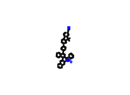 CC1(C)c2cc(C#N)ccc2-c2ccc(-c3ccc(-c4cc(Cc5ccccc5)c(-c5cc6ccccc6cc5N)c5ccccc45)cc3)cc21